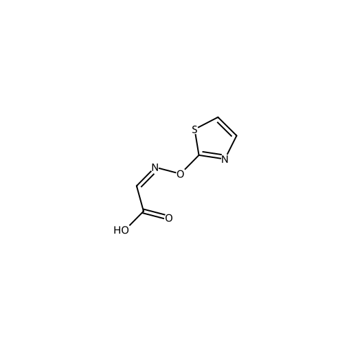 O=C(O)/C=N\Oc1nccs1